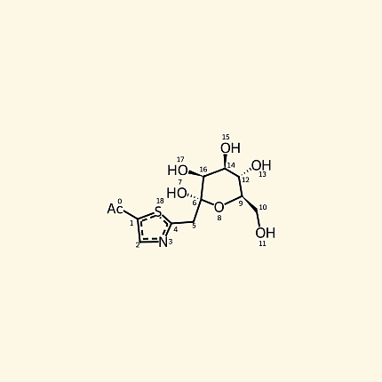 CC(=O)c1cnc(C[C@]2(O)O[C@H](CO)[C@@H](O)[C@H](O)[C@@H]2O)s1